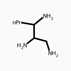 CCCC(N)C(N)CN